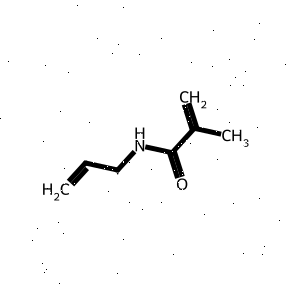 C=C[CH]NC(=O)C(=C)C